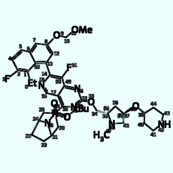 CCc1c(F)ccc2cc(OCOC)cc(-c3ncc4c(N5CC6CCC(C5)N6C(=O)OC(C)(C)C)nc(OC[C@@H]5C[C@@H](OC6CCNCC6)CN5C)nc4c3F)c12